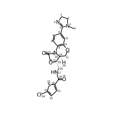 CN1CCN=C1c1ccc2c(c1)OC[C@H]1[C@H](CNC(=O)c3ccc(Cl)s3)OC(=O)N21